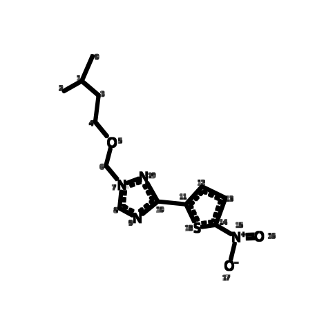 CC(C)CCOCn1cnc(-c2ccc([N+](=O)[O-])s2)n1